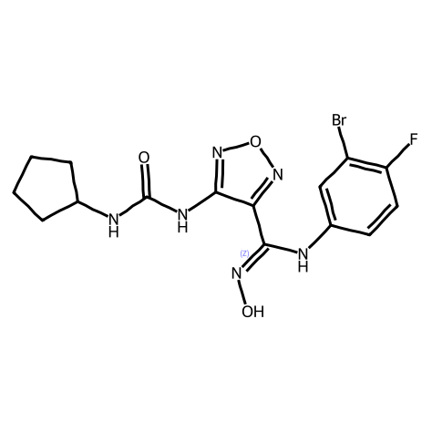 O=C(Nc1nonc1/C(=N/O)Nc1ccc(F)c(Br)c1)NC1CCCC1